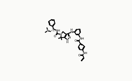 C=CC(=O)Nc1ccc(C(=O)Nc2cccc(Nc3n[nH]c4c3CN(C(=O)N[C@H](CN(C)C)c3ccccc3)C4(C)C)c2)cc1